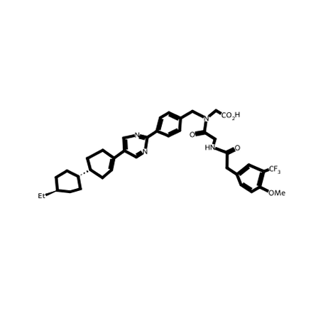 CC[C@H]1CC[C@H](C2CC=C(c3cnc(-c4ccc(CN(CC(=O)O)C(=O)CNC(=O)Cc5ccc(OC)c(C(F)(F)F)c5)cc4)nc3)CC2)CC1